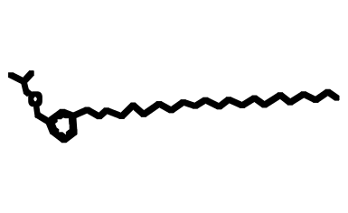 CCCCCCCCCCCCCCCCCCCCCCc1cccc(COCC(C)C)c1